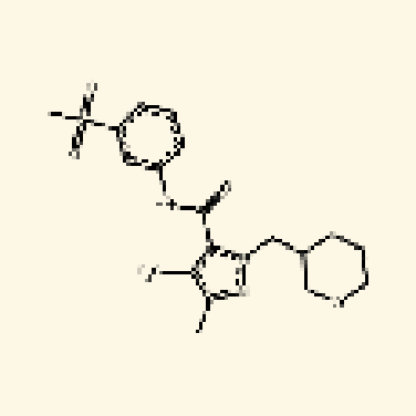 Cc1nn(CC2CCCOC2)c(C(=O)Nc2cccc(S(C)(=O)=O)c2)c1C(F)(F)F